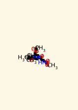 COC(=O)NCCC(=O)N1CCN(CC(=O)C(C)(C)C)C(COC(C)=O)C1